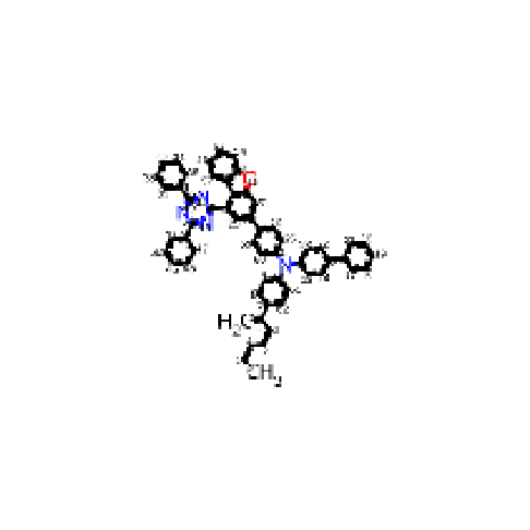 C=C(/C=C\C=C/C)c1ccc(N(c2ccc(-c3ccccc3)cc2)c2ccc(-c3cc(-c4nc(-c5ccccc5)nc(-c5ccccc5)n4)c4c(c3)oc3ccccc34)cc2)cc1